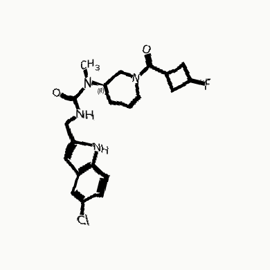 CN(C(=O)NCc1cc2cc(Cl)ccc2[nH]1)[C@@H]1CCCN(C(=O)C2CC(F)C2)C1